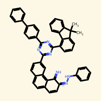 CC1(C)c2ccccc2-c2c(-c3nc(-c4ccc(-c5ccccc5)cc4)nc(-c4ccc5ccc6c(c5c4)C(=N)/C(=N\Nc4ccccc4)C=C6)n3)cccc21